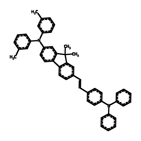 Cc1cccc(N(c2cccc(C)c2)c2ccc3c(c2)C(C)(C)c2cc(/C=C/c4ccc(N(c5ccccc5)c5ccccc5)cc4)ccc2-3)c1